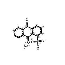 O=C1c2ccccc2C(=O)c2c1cccc2S(=O)(=O)[O-].[Na+]